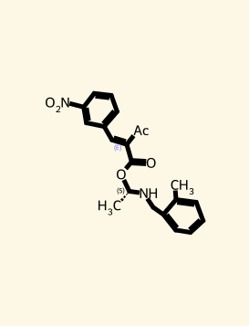 CC(=O)/C(=C\c1cccc([N+](=O)[O-])c1)C(=O)O[C@@H](C)NCc1ccccc1C